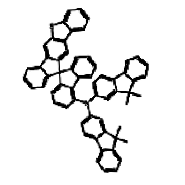 CC1(C)c2ccccc2-c2ccc(N(c3ccc4c(c3)C(C)(C)c3ccccc3-4)c3cccc4c3-c3ccccc3C43c4ccccc4-c4cc5sc6ccccc6c5cc43)cc21